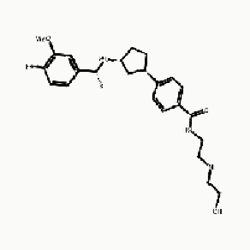 COc1cc([C@@H](C)N[C@H]2CC[C@@H](c3ccc(C(=O)NCCNCCO)cc3)C2)ccc1F